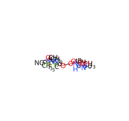 Cn1c(-c2ccccc2)cnc1C(O)C1CCCN1C(=O)C(NC(=O)COCCCCOc1ccc(-c2ncc(N3C(=S)N(c4ccc(C#N)c(C(F)(F)F)c4F)C(=O)C3(C)C)cc2F)c(C(F)(F)F)c1)C(C)(C)C